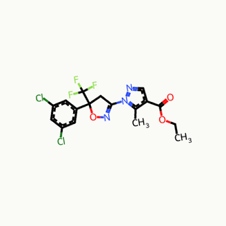 CCOC(=O)c1cnn(C2=NOC(c3cc(Cl)cc(Cl)c3)(C(F)(F)F)C2)c1C